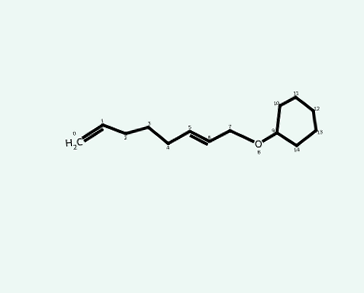 C=CCCCC=CCOC1CCCCC1